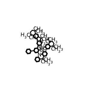 CC1(C)CCC(C)(C)c2cc(Nc3cc4c(cc3-c3cc(-c5ccccc5)cc5c3Bc3cccc6c3N5c3ccccc3C6(C)C)-c3cc5c(cc3C4(C)C)C(C)(C)CCC5(C)C)ccc21